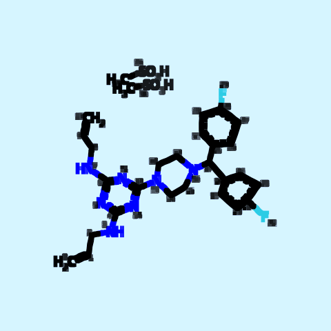 C=CCNc1nc(NCC=C)nc(N2CCN(C(c3ccc(F)cc3)c3ccc(F)cc3)CC2)n1.CS(=O)(=O)O.CS(=O)(=O)O